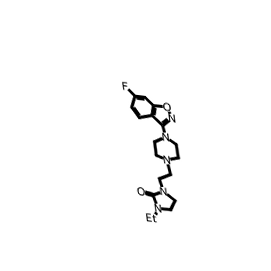 CCN1CCN(CCN2CCN(c3noc4cc(F)ccc34)CC2)C1=O